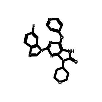 O=c1[nH]c2c(Oc3ccncc3)nc(-n3cnc4ccc(F)cc43)nc2n1C1CCOCC1